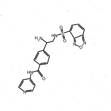 NC(CNS(=O)(=O)c1cccc2nonc12)c1ccc(C(=O)Nc2ccncc2)cc1